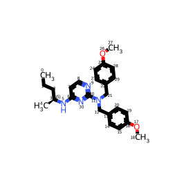 CCC[C@H](C)Nc1ccnc(N(Cc2ccc(OC)cc2)Cc2ccc(OC)cc2)n1